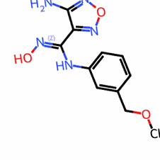 COCc1cccc(N/C(=N\O)c2nonc2N)c1